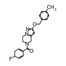 Cc1ccc(COc2cc3n(n2)CCN(C(=O)C2=CCC(F)C=C2)C3)cc1